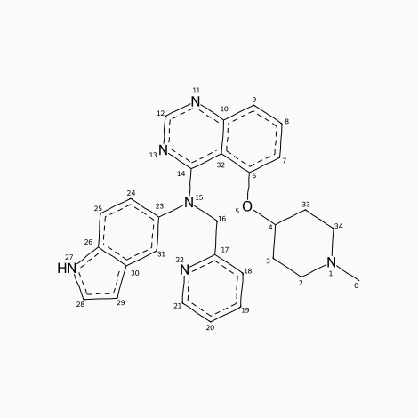 CN1CCC(Oc2cccc3ncnc(N(Cc4ccccn4)c4ccc5[nH]ccc5c4)c23)CC1